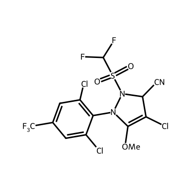 COC1=C(Cl)C(C#N)N(S(=O)(=O)C(F)F)N1c1c(Cl)cc(C(F)(F)F)cc1Cl